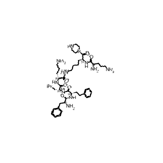 CC(C)C[C@@H](NC(=O)[C@@H](CCc1ccccc1)NC(=O)[C@H](N)Cc1ccccc1)C(=O)N[C@H](CCCN)C(=O)NCCCC[C@H](NC(=O)[C@H](N)CCCN)C(=O)N1CCNCC1